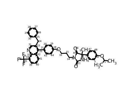 CC(C)Oc1ccc(C2(C)NC(=O)N(CCCOc3ccc(-c4c(Cc5ccccc5)cnc5c(C(F)(F)F)cccc45)cc3)C2=O)cc1